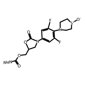 CNC(=O)OCC1CN(c2cc(F)c(N3CC[S+]([O-])CC3)c(F)c2)C(=O)O1